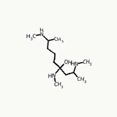 CNC(C)CCCC(O)(CC(C)NC)NC